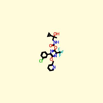 CC(O)(CNC(=O)Oc1nc(-c2cccc(Cl)c2)c(OCc2ccccn2)nc1C(F)(F)F)C1CC1